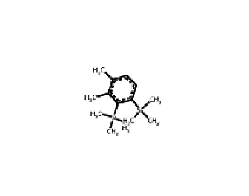 Cc1ccc([Si](C)(C)C)c([Si](C)(C)C)c1C